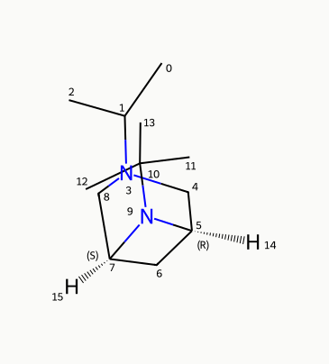 CC(C)N1C[C@H]2C[C@@H](C1)N2C(C)(C)C